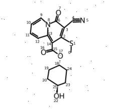 CSc1c(C#N)c(=O)n2ccccc2c1C(=O)O[C@H]1CC[C@H](O)CC1